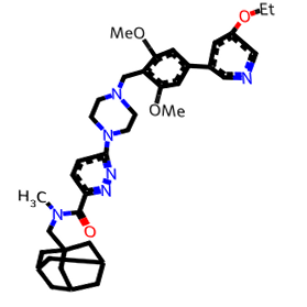 CCOc1cncc(-c2cc(OC)c(CN3CCN(c4ccc(C(=O)N(C)CC56CC7CC(CC(C7)C5)C6)nn4)CC3)c(OC)c2)c1